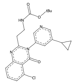 CC(C)(C)OC(=O)NCCc1nc2cccc(Cl)c2c(=O)n1-c1cncc(C2CC2)c1